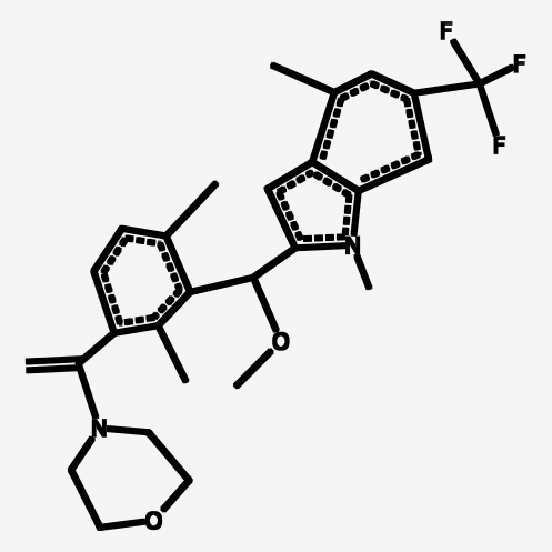 C=C(c1ccc(C)c(C(OC)c2cc3c(C)cc(C(F)(F)F)cc3n2C)c1C)N1CCOCC1